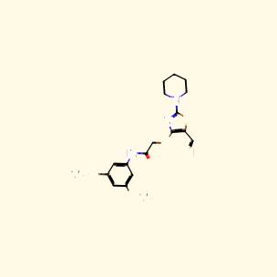 C=Cc1sc(N2CCCCC2)nc1SCC(=O)Nc1cc(OC)cc(OC)c1